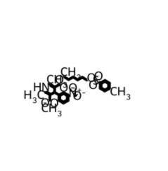 COC(=O)C1=C(C)NC(C)=C(C(=O)OC(C)CCCCCOS(=O)(=O)c2ccc(C)cc2)C1c1cccc([N+](=O)[O-])c1